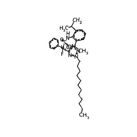 CCCCCCCCCCCCn1nnc(C(F)(c2ccccc2)S(=O)(=O)Nc2c(C(C)C)cccc2C(C)C)n1